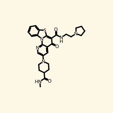 CNC(=O)C1CCN(c2cnc3c(c2)c(=O)c(C(=O)NCCN2CCCC2)c2sc4ccccc4n23)CC1